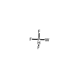 F[PH](F)(F)[W]